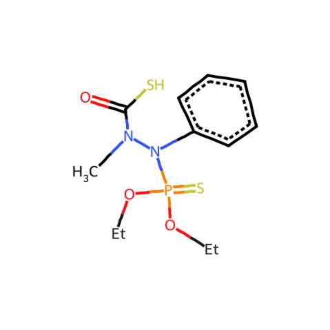 CCOP(=S)(OCC)N(c1ccccc1)N(C)C(=O)S